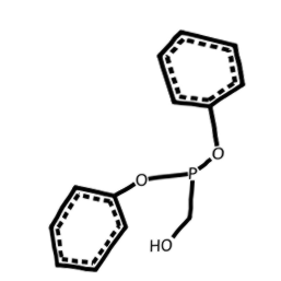 OCP(Oc1ccccc1)Oc1ccccc1